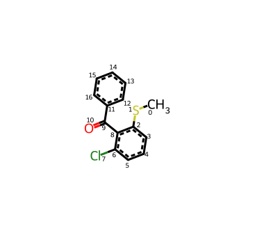 CSc1cccc(Cl)c1C(=O)c1ccccc1